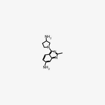 Cc1nc(N2CCC(N)C2)c2ccc(N)cc2n1